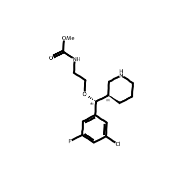 COC(=O)NCCO[C@@H](c1cc(F)cc(Cl)c1)[C@@H]1CCCNC1